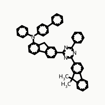 CC1(C)c2ccccc2-c2ccc(-c3nc(-c4ccccc4)nc(-c4ccc5c(c4)Cc4c-5cccc4N(c4ccccc4)c4ccc(-c5ccccc5)cc4)n3)cc21